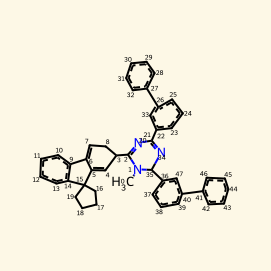 CN1C(C2C=C3C(=CC2)c2ccccc2C32CCCC2)=NC(c2cccc(-c3ccccc3)c2)=NC1c1cccc(-c2ccccc2)c1